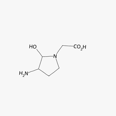 NC1CCN(CC(=O)O)C1O